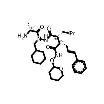 CC(C)C[C@@H](C(=O)NN(CC1CCCCC1)C(=O)[C@@H](C)N)[C@H](CC=Cc1ccccc1)C(=O)NOC1CCCCO1